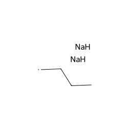 [CH2]CCC.[NaH].[NaH]